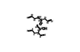 C=CCC(C=C)S(O)=S.C=CCS[S+]([O-])CC=C